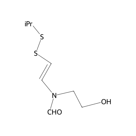 CC(C)SSC=CN(C=O)CCO